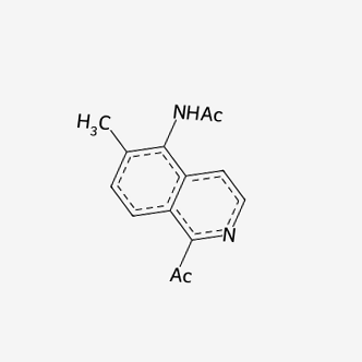 CC(=O)Nc1c(C)ccc2c(C(C)=O)nccc12